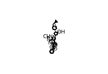 Nc1nc(Cl)nc2c1c(-c1ccn(S(=O)(=O)c3ccccc3)n1)cn2[C@@H]1C[C@H](C2CCN(CC3CC3)CC2)[C@@H](O)C1